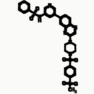 CS(=O)(=O)c1ccc(S(=O)(=O)N2CCN(c3cnc4ccc(-c5cncc(NS(=O)(=O)c6ccccc6)c5)cc4n3)CC2)cc1